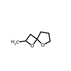 CC1CC2(CCCO2)O1